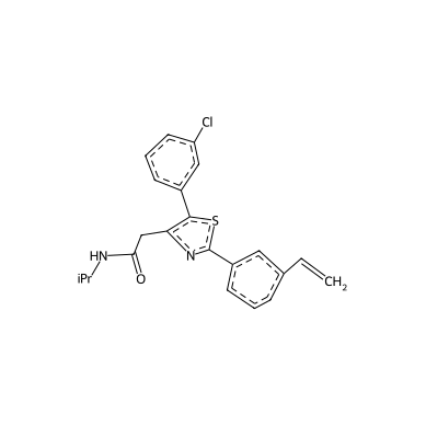 C=Cc1cccc(-c2nc(CC(=O)NC(C)C)c(-c3cccc(Cl)c3)s2)c1